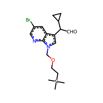 C[Si](C)(C)CCOCn1cc(C(C=O)C2CC2)c2cc(Br)cnc21